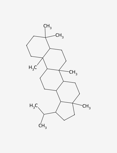 CC(C)C1CCC2(C)CCC3C(CCC4C3(C)CCC3C(C)(C)CCCC34C)C12